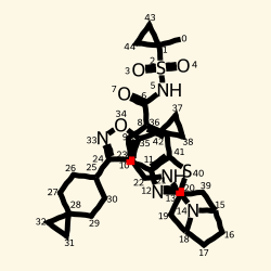 CC1(S(=O)(=O)NC(=O)c2ccc3nc(N4C5CCC4CC(NCc4c(C6CCC7(CC6)CC7)noc4C4CC4)C5)sc3c2)CC1